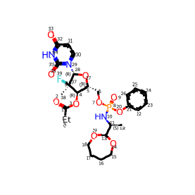 CCC(=O)O[C@@H]1[C@@H](COP(=O)(N[C@@H](C)C2OCCCCO2)Oc2ccccc2)O[C@@H](n2ccc(=O)[nH]c2=O)[C@]1(C)F